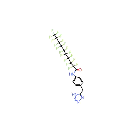 O=C(Nc1ccc(Cc2nnn[nH]2)cc1)C(F)(F)C(F)(F)C(F)(F)C(F)(F)C(F)(F)C(F)(F)C(F)(F)C(F)(F)C(F)(F)F